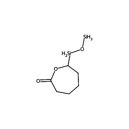 O=C1CCCCC([SiH2]O[SiH3])O1